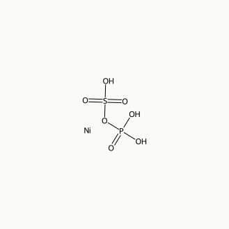 O=P(O)(O)OS(=O)(=O)O.[Ni]